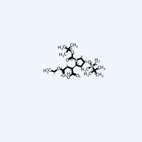 CCOC(=O)CC(C(=O)O)[C@@H]1C[C@@H](O[Si](C)(C)C(C)(C)C)CN1C(=O)OC(C)(C)C